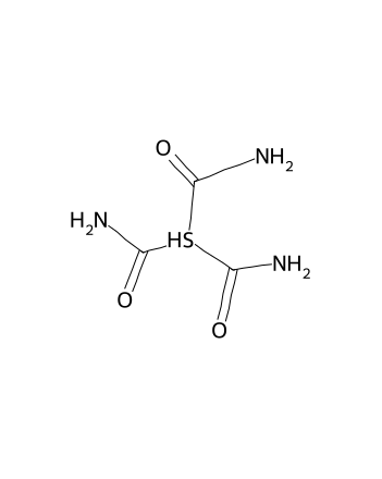 NC(=O)[SH](C(N)=O)C(N)=O